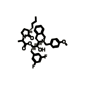 CCCC[C@H]1CCN(C(C)C(=O)O[C@@H](Cc2cc(F)cc(F)c2)[C@@H](O)[C@H]2Cc3ccccc3CN2Cc2ccc(OC)cc2)C1=O